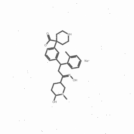 Cc1ccccc1C(C/C(=N/O)C1CCC(O)N(C)C1)c1cccc(C2(C(=O)[O-])CCNCC2)c1.[Na+]